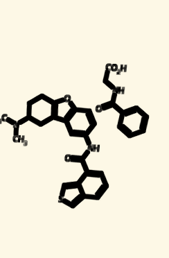 CN(C)C1CCc2oc3ccc(NC(=O)c4cccc5cscc45)cc3c2C1.O=C(O)CNC(=O)c1ccccc1